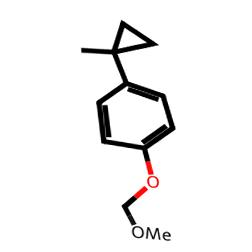 COCOc1ccc(C2(C)CC2)cc1